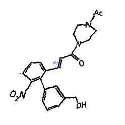 CC(=O)N1CCN(C(=O)/C=C/c2cc[c]c([N+](=O)[O-])c2-c2cccc(CO)c2)CC1